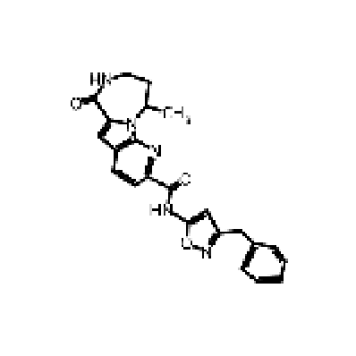 CC1CCNC(=O)c2cc3ccc(C(=O)Nc4cc(Cc5ccccc5)no4)nc3n21